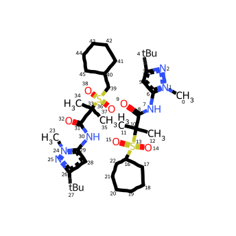 Cn1nc(C(C)(C)C)cc1NC(=O)C(C)(C)S(=O)(=O)C1CCCCCC1.Cn1nc(C(C)(C)C)cc1NC(=O)C(C)(C)S(=O)(=O)CC1CCCCC1